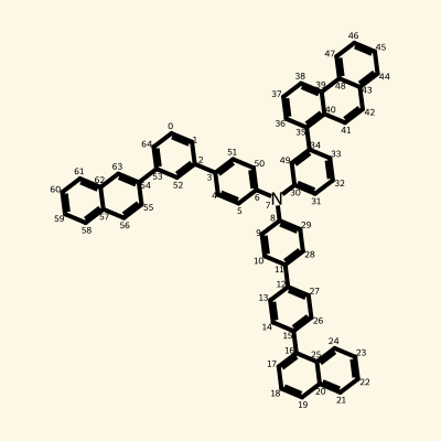 c1cc(-c2ccc(N(c3ccc(-c4ccc(-c5cccc6ccccc56)cc4)cc3)c3cccc(-c4cccc5c4ccc4ccccc45)c3)cc2)cc(-c2ccc3ccccc3c2)c1